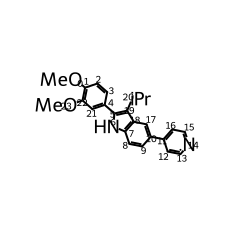 COc1ccc(-c2[nH]c3ccc(-c4c[c]ncc4)cc3c2C(C)C)cc1OC